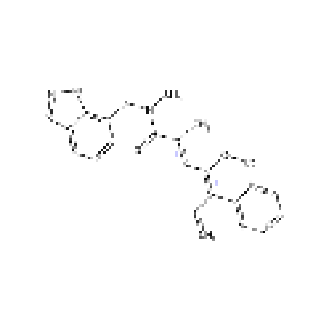 C=C/C(=C(\C=C(/C)C(=O)N(C)Cc1cccc2cn[nH]c12)OCC)c1ncccn1